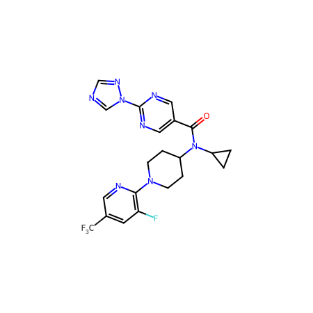 O=C(c1cnc(-n2cncn2)nc1)N(C1CC1)C1CCN(c2ncc(C(F)(F)F)cc2F)CC1